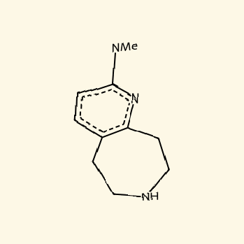 CNc1ccc2c(n1)CCNCC2